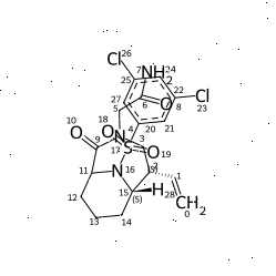 C=C[C@H]1CN(CC(N)=O)C(=O)C2CCC[C@@H]1N2S(=O)(=O)c1cc(Cl)cc(Cl)c1